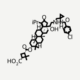 CC(C)C1=C2[C@H]3CC[C@@H]4[C@@]5(C)CC[C@H](OC(=O)[C@H]6C[C@@H](C(=O)O)C6(C)C)C(C)(C)[C@@H]5CC[C@@]4(C)[C@]3(C)CC[C@@]2([C@@H](O)CNCC2(NC(=O)c3ccc(Cl)cc3)CC2)CC1=O